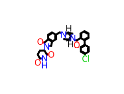 O=C1CCC(N2Cc3cc(CN4C[C@H]5C[C@@H]4CN5C(=O)c4ccccc4-c4ccc(Cl)cc4)ccc3C2=O)C(=O)N1